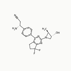 C[C@H]1[C@H](O)CN1c1nc(-c2ccc([C@H](N)CC#N)cc2)c2c(n1)C(F)(F)CC2